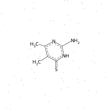 Cc1nc(N)[nH]c(=S)c1C